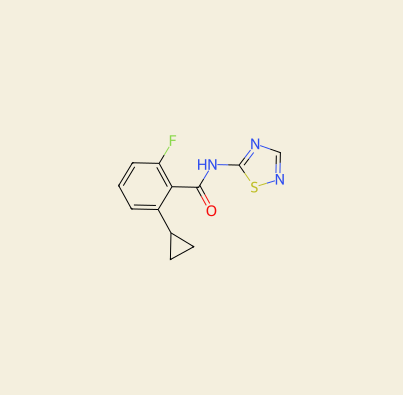 O=C(Nc1ncns1)c1c(F)cccc1C1CC1